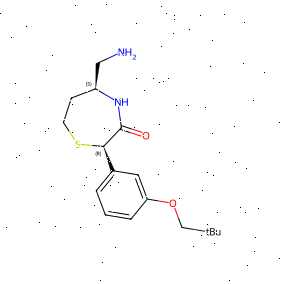 CC(C)(C)COc1cccc([C@H]2SCC[C@@H](CN)NC2=O)c1